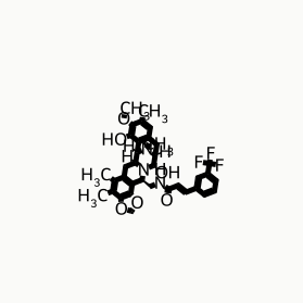 COc1c(C)cc2c(c1O)[C@@H]1[C@@H]3Cc4c(C)c(C)c5c(c4[C@H](CNC(=O)/C=C/c4cccc(C(F)(F)F)c4)N3[C@@H](O)[C@H](C2)N1C)OCO5